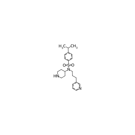 CC(C)c1ccc(S(=O)(=O)N(CCCc2cccnc2)C2CCNCC2)cc1